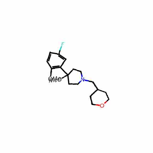 COc1ccc(F)cc1C1(OC)CCN(CC2CCOCC2)CC1